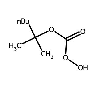 CCCCC(C)(C)OC(=O)OO